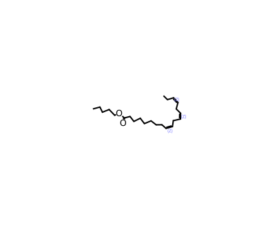 CC/C=C\C/C=C\C/C=C\CCCCCCCC(=O)OCCCCC